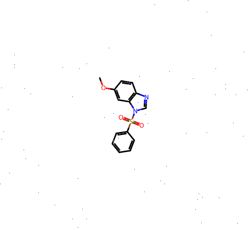 COc1ccc2ncn(S(=O)(=O)c3ccccc3)c2c1